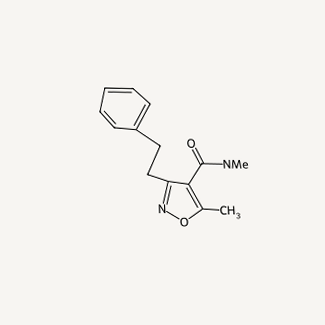 CNC(=O)c1c(CCc2ccccc2)noc1C